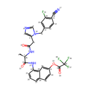 C[C@@H](NC(=O)Cc1cncn1Cc1ccc(C#N)c(F)c1)C(=O)Nc1cccc2ccc(OC(=O)C(F)(F)F)cc12